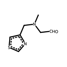 CN(CC=O)Cc1cscn1